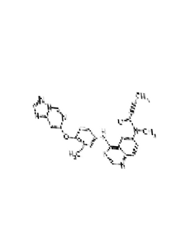 CC#CC(=O)N(C)c1ccc2ncnc(Nc3ccc(Oc4cc5ncnn5cn4)c(C)c3)c2c1